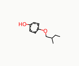 CCC(C)COc1ccc(O)cc1